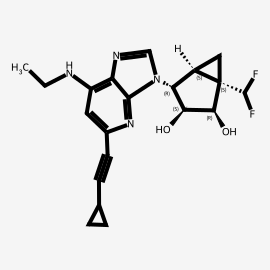 CCNc1cc(C#CC2CC2)nc2c1ncn2[C@H]1[C@H](O)[C@H](O)[C@]2(C(F)F)C[C@H]12